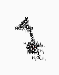 CC(C)=CCCC1(C)C=Cc2c(O)c3c(c(CC=C(C)C)c2O1)OC12C(=CC4CC1C(C)(C)OC2(C/C=C(/C)C(=O)NCCOCCOCCNC(=O)c1ccc(-c2c5ccc(=O)cc-5oc5cc(O)ccc25)c(C(=O)O)c1)C4=O)C3=O